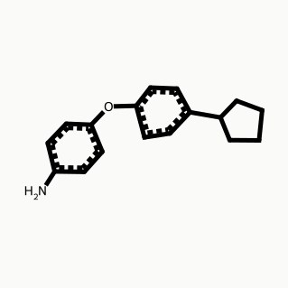 Nc1ccc(Oc2ccc(C3CCCC3)cc2)cc1